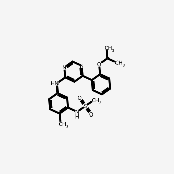 Cc1ccc(Nc2cc(-c3ccccc3OC(C)C)ncn2)cc1NS(C)(=O)=O